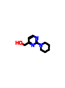 OCc1ccnc(N2CCCCC2)n1